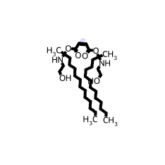 CCCCCCCCCCCCC(C)(NCCO)OC(=O)/C=C\C(=O)OC(C)(CCCCCCCCCCCC)NCCO